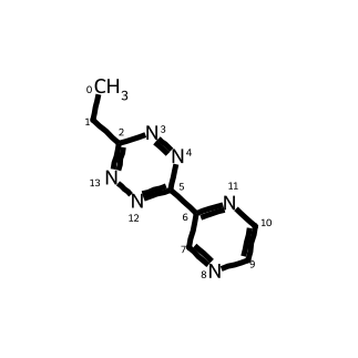 CCc1nnc(-c2cnccn2)nn1